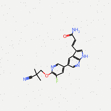 CC(C)(C#N)COc1ncc(-c2cnc3[nH]cc(C=CC(N)=O)c3c2)cc1F